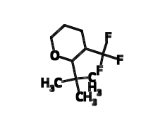 CC(C)(C)C1OCCCC1C(F)(F)F